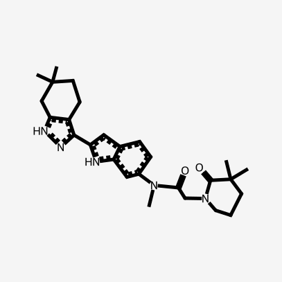 CN(C(=O)CN1CCCC(C)(C)C1=O)c1ccc2cc(-c3n[nH]c4c3CCC(C)(C)C4)[nH]c2c1